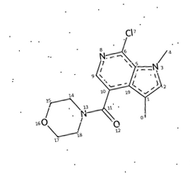 Cc1cn(C)c2c(Cl)ncc(C(=O)N3CCOCC3)c12